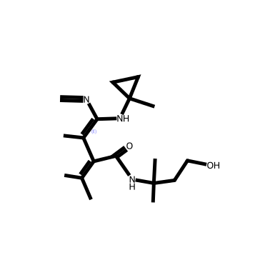 C=N/C(NC1(C)CC1)=C(\C)C(C(=O)NC(C)(C)CCO)=C(C)C